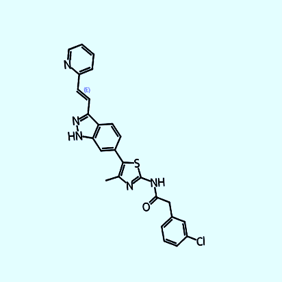 Cc1nc(NC(=O)Cc2cccc(Cl)c2)sc1-c1ccc2c(/C=C/c3ccccn3)n[nH]c2c1